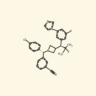 CC(C)(F)[C@H](c1cc(F)cc(-n2ccnc2)c1)C1CN([C@@H](c2ccc(Cl)cc2)c2cccc(C#N)c2)C1